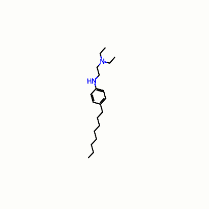 CCCCCCCCc1ccc(NCCN(CC)CC)cc1